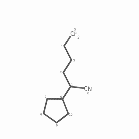 N#CC(CCCC(F)(F)F)C1CCCC1